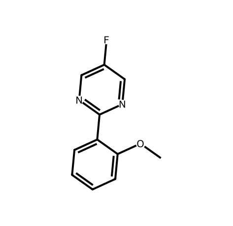 COc1ccccc1-c1ncc(F)cn1